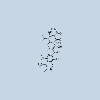 CC(CC(F)(F)F)N(C)Cc1cc(N(C)C)c2c(c1O)C(=O)C1=C(O)C3(O)C(=O)C(C(N)=O)=C(O)C(N(C)C)C3CC1C2